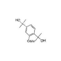 COc1cc(C(C)(C)O)ccc1C(C)(C)O